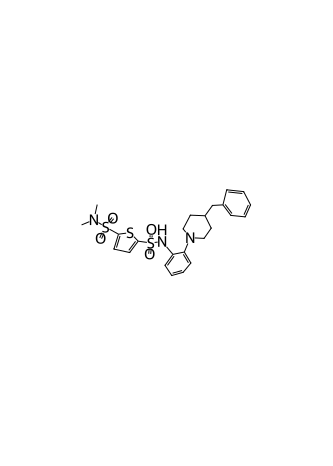 CN(C)S(=O)(=O)c1ccc(S(=O)(=O)Nc2ccccc2N2CCC(Cc3ccccc3)CC2)s1